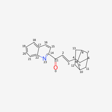 O=C(C=CC12CC3CC(CC(C3)C1)C2)c1ccc2ccccc2n1